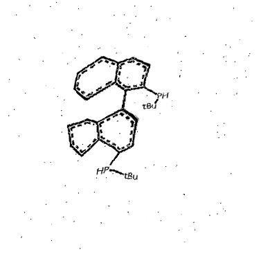 CC(C)(C)Pc1ccc2ccccc2c1-c1ccc(PC(C)(C)C)c2ccccc12